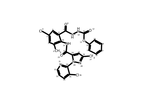 Cc1cc(Cl)cc(C(=O)NNC(=O)Oc2ccccc2)c1NC(=O)c1cc(C(F)(F)F)nn1-c1ncccc1Cl